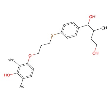 CCCc1c(OCCCSc2ccc(C(O)C(C)CCO)cc2)ccc(C(C)=O)c1O